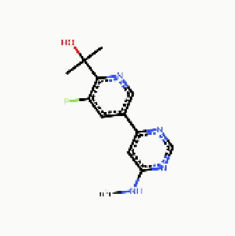 CCCNc1cc(-c2cnc(C(C)(C)O)c(F)c2)ncn1